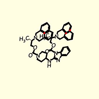 C[C@@H](COC(=O)N1CCC(Nc2nc3ccccc3n2C(=O)OC[C@H](C)N(Cc2ccccc2)Cc2ccccc2)CC1)N(Cc1ccccc1)Cc1ccccc1